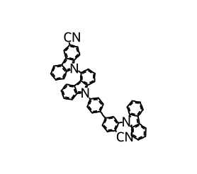 N#Cc1ccc2c(c1)c1ccccc1n2-c1cccc2c1c1ccccc1n2-c1ccc(-c2ccc(C#N)c(-n3c4ccccc4c4ccccc43)c2)cc1